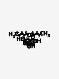 CCCCCOCCCCC.O=C(O)CC(C(=O)O)S(=O)(=O)O